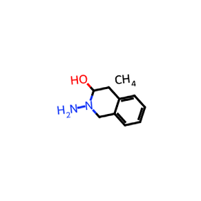 C.NN1Cc2ccccc2CC1O